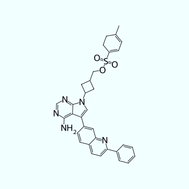 CC1=CC=C(S(=O)(=O)OCC2CC(n3cc(-c4ccc5ccc(-c6ccccc6)nc5c4)c4c(N)ncnc43)C2)CC1